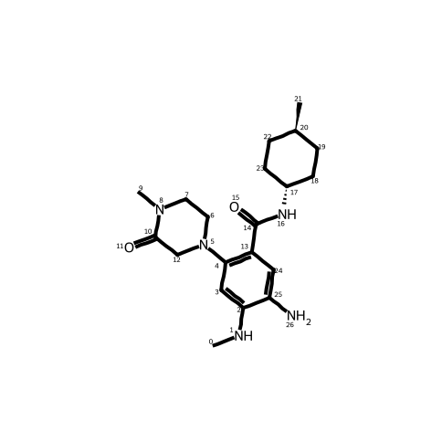 CNc1cc(N2CCN(C)C(=O)C2)c(C(=O)N[C@H]2CC[C@H](C)CC2)cc1N